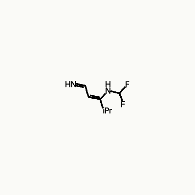 CC(C)/C(=C/C=N)NC(F)F